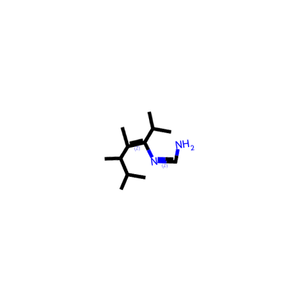 C/C(=C(/N=C\N)C(C)C)C(C)C(C)C